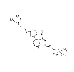 CCN(CC)CCOc1cccc(-c2ccnc3c2c(C#N)cn3COCC[Si](C)(C)C)c1